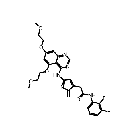 COCCOc1cc(OCCOC)c2c(Nc3cc(CC(=O)Nc4cccc(F)c4F)[nH]n3)ncnc2c1